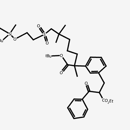 CCOC(=O)C(Cc1cccc(C(C)(CCCC(C)(C)CS(=O)(=O)CCO[Si](C)(C)C(C)(C)C)C(=O)OC(C)(C)C)c1)C(=O)c1ccccc1